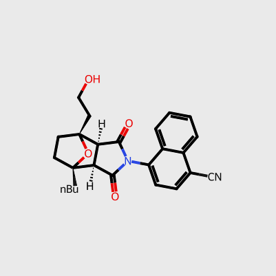 CCCC[C@@]12CC[C@@](CCO)(O1)[C@H]1C(=O)N(c3ccc(C#N)c4ccccc34)C(=O)[C@H]12